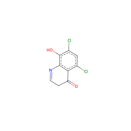 O=C1CC=Nc2c(O)c(Cl)cc(Cl)c21